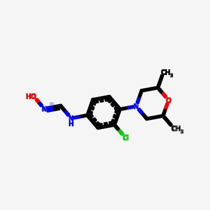 CC1CN(c2ccc(N/C=N/O)cc2Cl)CC(C)O1